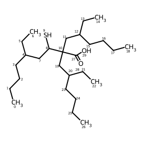 CCCCC(CC)CC(S)C(CC(CC)CCCC)(CC(CC)CCCC)C(=O)O